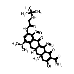 CN(C)c1cc(NC(=O)CNC(C)(C)C)c(N=O)c2c1C[C@H]1C[C@@]3(N)CC(O)=C(C(N)=O)C(=O)C3C(N=O)=C1C2=O